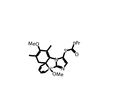 CCCC(=O)Sc1cnc2n1C1=C(C)C(OC)=C(C)CC13C=CC=C[N+]23OC